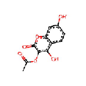 CC(=O)Oc1c(O)c2ccc(O)cc2oc1=O